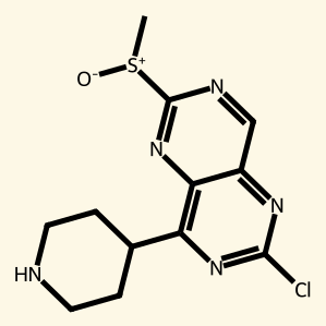 C[S+]([O-])c1ncc2nc(Cl)nc(C3CCNCC3)c2n1